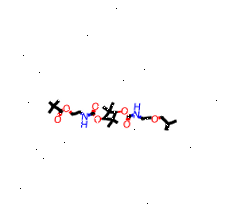 C=C(C)COCCNC(=O)O[C@H]1C(C)(C)[C@@H](OC(=O)NCCOC(=O)C(C)(C)C)C1(C)C